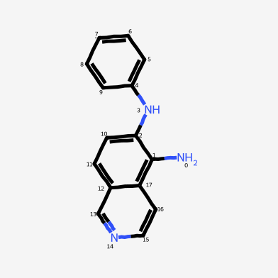 Nc1c(Nc2cc[c]cc2)ccc2cnccc12